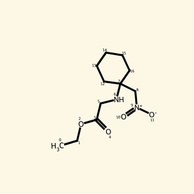 CCOC(=O)CNC1(C[N+](=O)[O-])CCCCC1